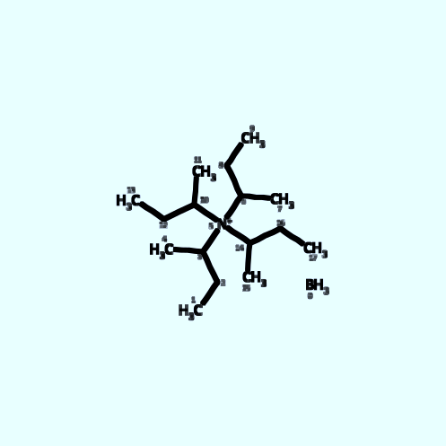 B.CCC(C)[N+](C(C)CC)(C(C)CC)C(C)CC